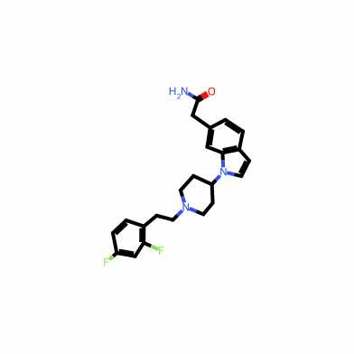 NC(=O)Cc1ccc2ccn(C3CCN(CCc4ccc(F)cc4F)CC3)c2c1